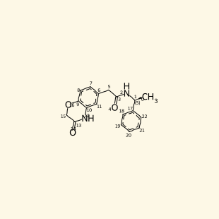 C[C@H](NC(=O)Cc1ccc2c(c1)NC(=O)CO2)c1ccccc1